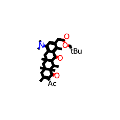 CC(=O)C1=C(C)CC2(C)CC3(C)Cc4c(N(C)C)cc(CC(=O)OCC(C)(C)C)c(C)c4C(=O)C3C(C)C2(C)C1=O